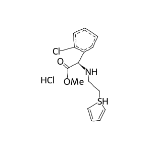 COC(=O)[C@H](NCC[SH]1C=CC=C1)c1ccccc1Cl.Cl